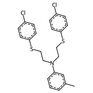 Cc1cccc(N(CCSc2ccc(Cl)cc2)CCSc2ccc(Cl)cc2)c1